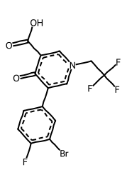 O=C(O)c1cn(CC(F)(F)F)cc(-c2ccc(F)c(Br)c2)c1=O